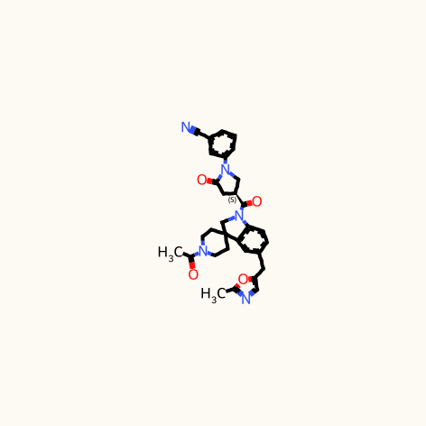 CC(=O)N1CCC2(CC1)CN(C(=O)[C@H]1CC(=O)N(c3cccc(C#N)c3)C1)c1ccc(Cc3cnc(C)o3)cc12